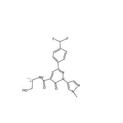 C[C@@H](CO)NC(=O)c1cc(-c2ccc(C(F)F)cc2)nn(-c2cnn(C)c2)c1=O